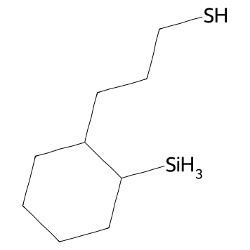 [SiH3]C1CCCCC1CCCS